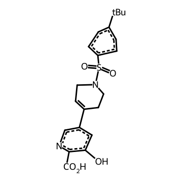 CC(C)(C)c1ccc(S(=O)(=O)N2CC=C(c3cnc(C(=O)O)c(O)c3)CC2)cc1